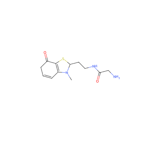 CN1C2=C(SC1CCNC(=O)CN)C(=O)CC=C2